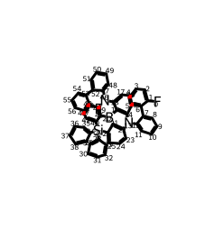 Fc1ccccc1-c1ccccc1N1c2cccc3c2B2c4c1cccc4[Si](c1ccccc1)(c1ccccc1)c1cccc(c12)N3c1ccccc1-c1ccccc1F